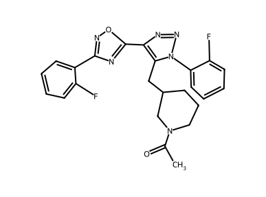 CC(=O)N1CCCC(Cc2c(-c3nc(-c4ccccc4F)no3)nnn2-c2ccccc2F)C1